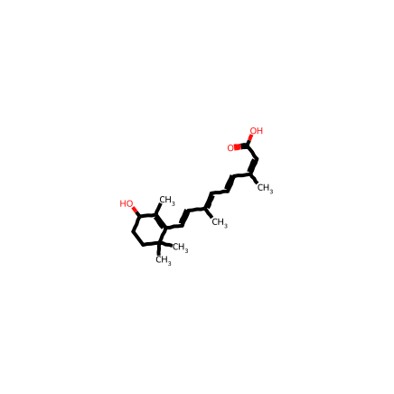 CC1=C(/C=C/C(C)=C/C=C/C(C)=C\C(=O)O)C(C)(C)CCC1O